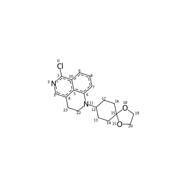 Clc1ncc2c3c(cccc13)N(C1CCC3(CC1)OCCO3)CC2